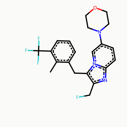 Cc1c(Cc2c(CF)nc3ccc(N4CCOCC4)cn23)cccc1C(F)(F)F